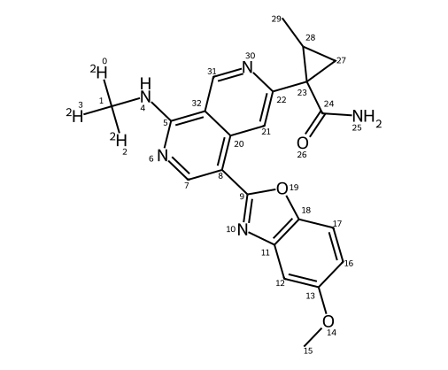 [2H]C([2H])([2H])Nc1ncc(-c2nc3cc(OC)ccc3o2)c2cc(C3(C(N)=O)CC3C)ncc12